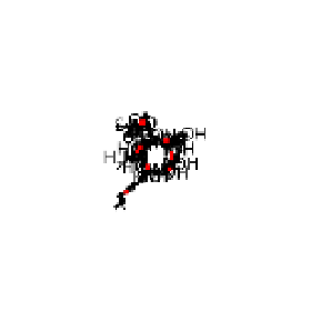 CC[C@H](C)C[C@H](C)CCCCCCCCC(=O)N[C@H]1C[C@@H](O)[C@@H](NCCN)NC(=O)[C@@H]2[C@@H](O)CCN2C(=O)[C@H]([C@H](O)CCNC(=O)[C@H](CC(C)C)NC(=O)[C@H](CCSC)NC=O)NC(=O)[C@H]([C@H](O)[C@@H](O)c2ccc(O)cc2)NC(=O)[C@@H]2C[C@@H](O)CN2C(=O)[C@H]([C@@H](C)O)NC1=O